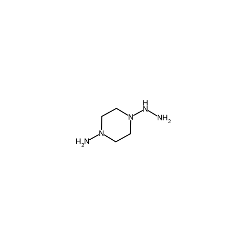 NNN1CCN(N)CC1